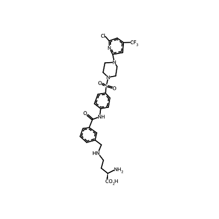 N[C@H](CCNCc1cccc(C(=O)Nc2ccc(S(=O)(=O)N3CCN(c4cc(C(F)(F)F)cc(Cl)n4)CC3)cc2)c1)C(=O)O